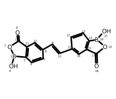 O=C1OB(O)c2ccc(/C=C/c3ccc4c(c3)C(=O)OB4O)cc21